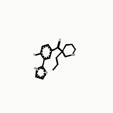 CCCC1(C(=O)c2ccc(Cl)c(-c3ncc[nH]3)c2)CCCNC1